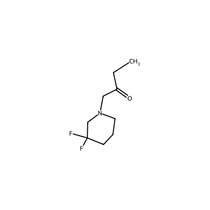 CCC(=O)CN1CCCC(F)(F)C1